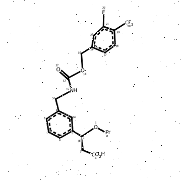 CC(C)O[C@@H](CC(=O)O)c1cccc(CNC(=O)OCc2ccc(C(F)(F)F)c(F)c2)c1